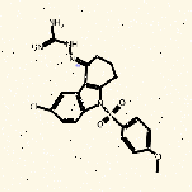 COc1ccc(S(=O)(=O)n2c3c(c4cc(Cl)ccc42)/C(=N/NC(=N)N)CCC3)cc1